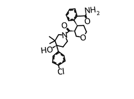 CC1(C)CN(C(=O)[C@@H]2COCC[C@@H]2c2ccccc2C(N)=O)CC[C@]1(O)c1ccc(Cl)cc1